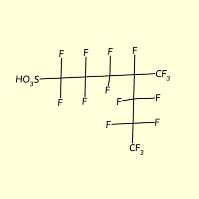 O=S(=O)(O)C(F)(F)C(F)(F)C(F)(F)C(F)(C(F)(F)F)C(F)(F)C(F)(F)C(F)(F)F